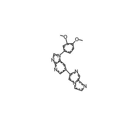 COc1ccc(-n2cnc3ncc(-c4cn5ccnc5cn4)cc32)cc1OC